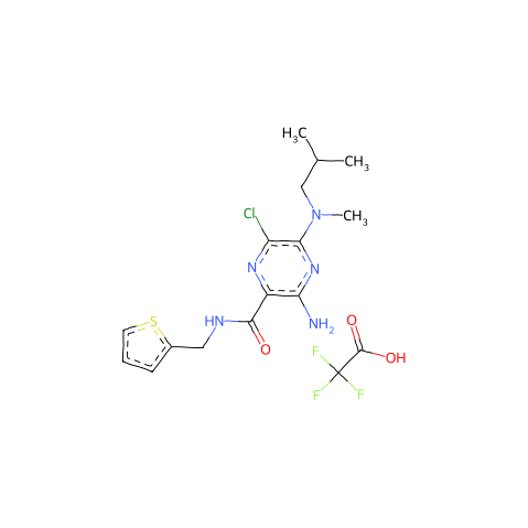 CC(C)CN(C)c1nc(N)c(C(=O)NCc2cccs2)nc1Cl.O=C(O)C(F)(F)F